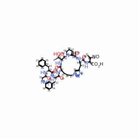 C[C@@H](O)[C@@H]1NC(=O)[C@@H](NC(=O)[C@H](Cc2ccccc2)NC(=O)[C@H](Cc2ccccc2)NC(=O)CN)CCCn2cc(nn2)C[C@@H](C(=O)N[C@H](C(=O)O)[C@@H](C)N=O)NC(=O)[C@@H]2CCCN2C1=O